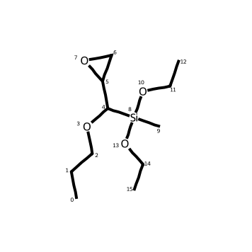 CCCOC(C1CO1)[Si](C)(OCC)OCC